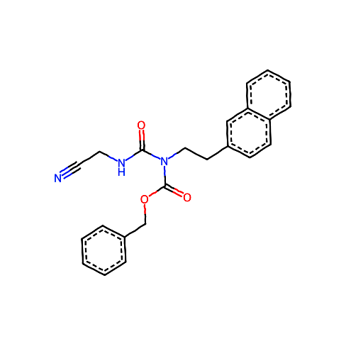 N#CCNC(=O)N(CCc1ccc2ccccc2c1)C(=O)OCc1ccccc1